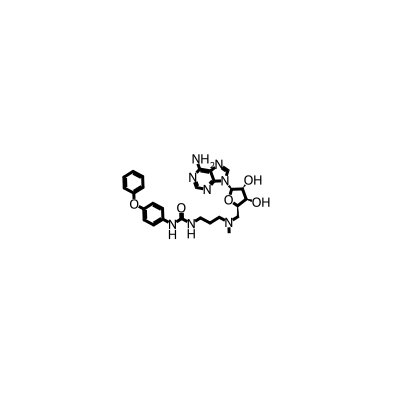 CN(CCCNC(=O)Nc1ccc(Oc2ccccc2)cc1)C[C@H]1O[C@@H](n2cnc3c(N)ncnc32)[C@H](O)[C@H]1O